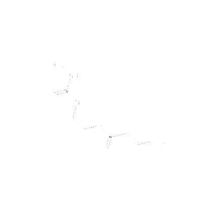 CCOC(=O)/C=C/C(=O)OC[C@H](C)NC(=O)NC(C)C